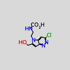 O=C(O)NCCn1c(CO)cc2nnc(Cl)cc21